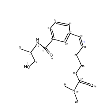 CC(CO)NC(=O)c1cccc(/C=C\CCCC(=O)N(C)C)c1